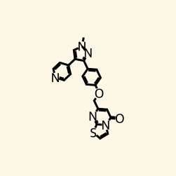 Cn1cc(-c2ccncc2)c(-c2ccc(OCc3cc(=O)n4ccsc4n3)cc2)n1